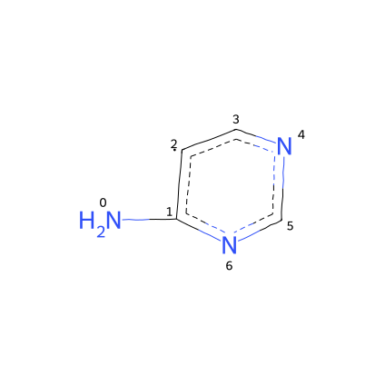 Nc1[c]cncn1